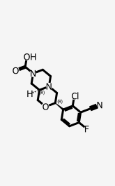 N#Cc1c(F)ccc([C@@H]2CN3CCN(C(=O)O)C[C@@H]3CO2)c1Cl